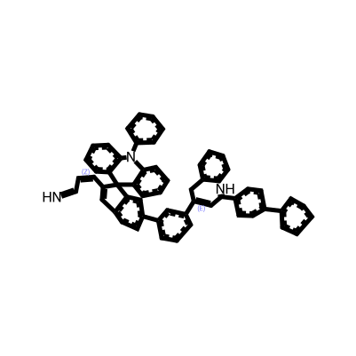 N=C/C=C\C1=Cc2ccc(-c3cccc(/C(=C/C(=N)c4ccc(-c5ccccc5)cc4)Cc4ccccc4)c3)cc2C12c1ccccc1N(c1ccccc1)c1ccccc12